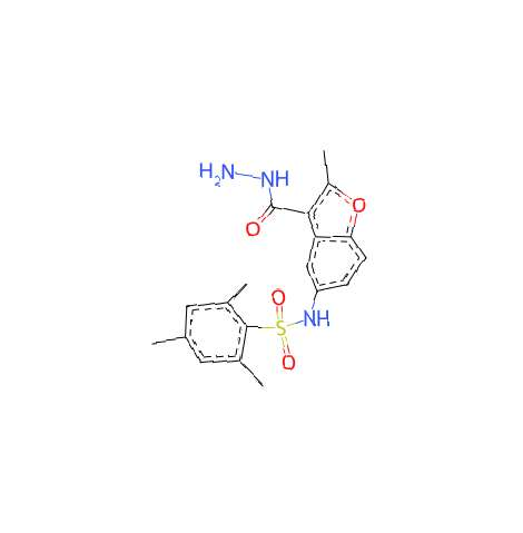 Cc1cc(C)c(S(=O)(=O)Nc2ccc3oc(C)c(C(=O)NN)c3c2)c(C)c1